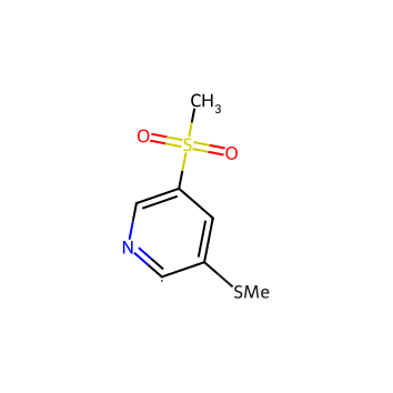 CSc1[c]ncc(S(C)(=O)=O)c1